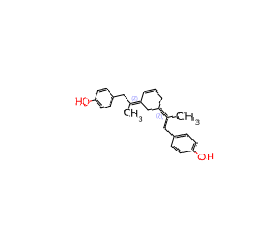 C/C(Cc1ccc(O)cc1)=C1/C=CC/C(=C(\C)Cc2ccc(O)cc2)C1